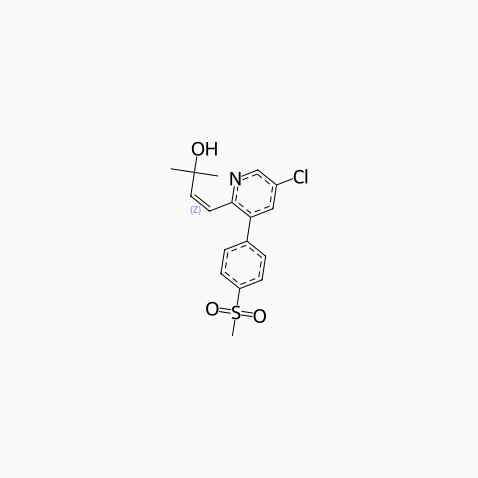 CC(C)(O)/C=C\c1ncc(Cl)cc1-c1ccc(S(C)(=O)=O)cc1